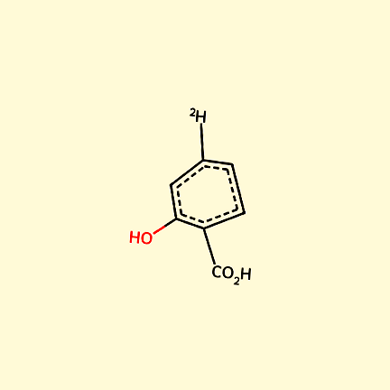 [2H]c1ccc(C(=O)O)c(O)c1